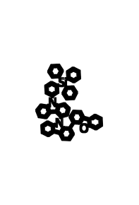 c1ccc([Si](c2ccccc2)(c2ccccc2)c2cccc(-n3c4ccccc4c4c(-n5c6ccccc6c6cccc(-c7cccc8c7oc7ccccc78)c65)cccc43)c2)cc1